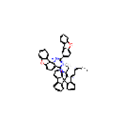 C\C=C/C=C1\C(=C(CC)\N=C(/N=C(\N)c2ccc3oc4ccccc4c3c2)c2ccc3oc4ccccc4c3c2)C2(c3ccccc31)c1ccccc1-c1ccccc12